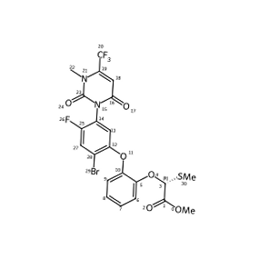 COC(=O)[C@H](Oc1ccccc1Oc1cc(-n2c(=O)cc(C(F)(F)F)n(C)c2=O)c(F)cc1Br)SC